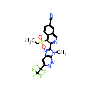 CCS(=O)(=O)c1c(-c2nc3cc(C(F)(F)C(F)(F)F)nnc3n2C)ncc2cc(C#N)ccc12